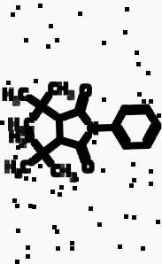 BC(C)(C)C1C(=O)N(c2ccccc2)C(=O)C1C(C)(C)C